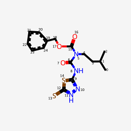 CC(C)CCN(C(=O)Nc1n[nH]c(=S)s1)C(=O)OCc1ccccc1